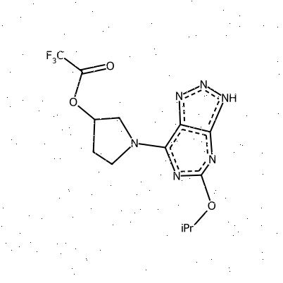 CC(C)Oc1nc(N2CCC(OC(=O)C(F)(F)F)C2)c2nn[nH]c2n1